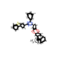 CC1(C)c2ccccc2-c2cc3c(cc21)Oc1cc(-c2nc(-c4ccccc4)nc(-c4ccc5c(c4)sc4ccccc45)n2)ccc1O3